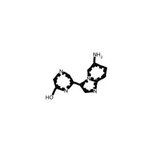 Nc1ccc2ncc(-c3cncc(O)n3)n2c1